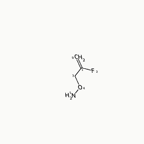 C=C(F)CON